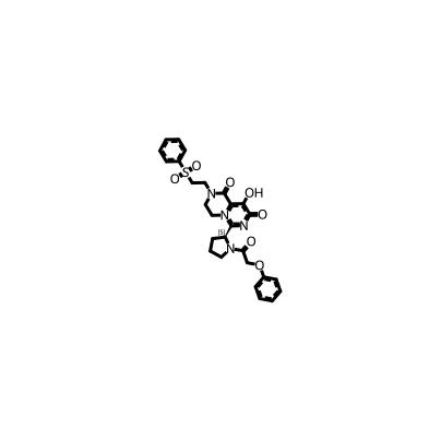 O=C1c2c(O)c(=O)nc([C@@H]3CCCN3C(=O)COc3ccccc3)n2CCN1CCS(=O)(=O)c1ccccc1